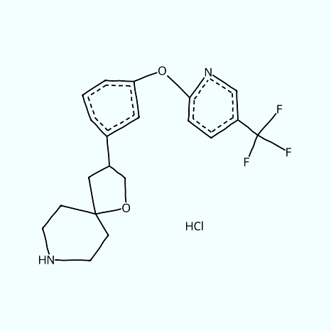 Cl.FC(F)(F)c1ccc(Oc2cccc(C3COC4(CCNCC4)C3)c2)nc1